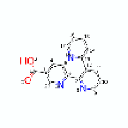 O=C(O)c1ccc(-c2ncccc2-c2ccccn2)nc1